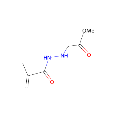 C=C(C)C(=O)NNCC(=O)OC